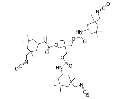 CCC(COC(=O)NC1CC(C)(C)CC(C)(CN=C=O)C1)(COC(=O)NC1CC(C)(C)CC(C)(CN=C=O)C1)COC(=O)NC1CC(C)(C)CC(C)(CN=C=O)C1